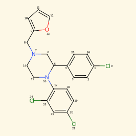 Clc1ccc(C2CN(Cc3ccco3)CCN2c2ccc(Cl)cc2Cl)cc1